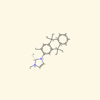 Cc1cc2c(cc1N1C=CN(C)[C@@H]1C)C(C)(C)c1ccccc1C2(C)C